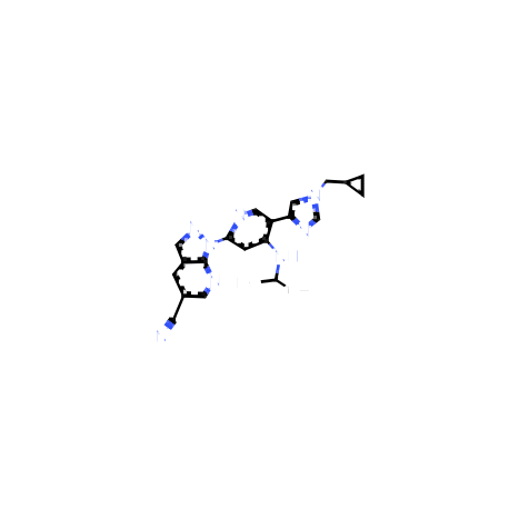 CC(C)Nc1cc(-n2ncc3cc(C#N)cnc32)ncc1-c1cn(CC2CC2)cn1